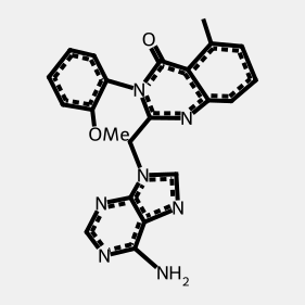 COc1ccccc1-n1c(Cn2cnc3c(N)ncnc32)nc2cccc(C)c2c1=O